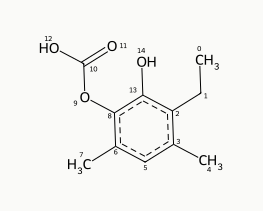 CCc1c(C)cc(C)c(OC(=O)O)c1O